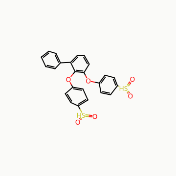 O=[SH](=O)c1ccc(Oc2cccc(-c3ccccc3)c2Oc2ccc([SH](=O)=O)cc2)cc1